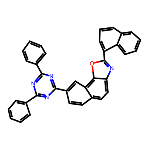 c1ccc(-c2nc(-c3ccccc3)nc(-c3ccc4ccc5nc(-c6cccc7ccccc67)oc5c4c3)n2)cc1